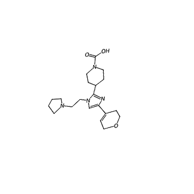 O=C(O)N1CCC(c2nc(C3=CCOCC3)cn2CCN2CCCC2)CC1